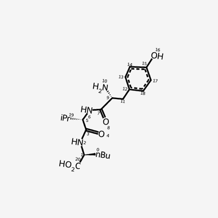 CCCC[C@H](NC(=O)[C@@H](NC(=O)[C@H](N)Cc1ccc(O)cc1)C(C)C)C(=O)O